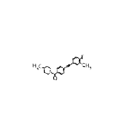 Cc1cc(C#Cc2ccc(C(=O)N3CCC(C)CC3)cc2)ccc1F